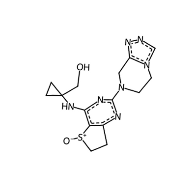 [O-][S+]1CCc2nc(N3CCn4cnnc4C3)nc(NC3(CO)CC3)c21